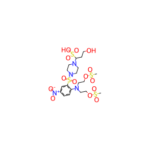 CS(=O)(=O)OCCN(CCOS(C)(=O)=O)c1ccc([N+](=O)[O-])cc1S(=O)(=O)N1CCN(C(CCO)S(=O)(=O)O)CC1